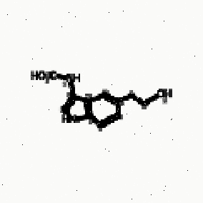 O=C(O)Nc1c[nH]c2ccc(CCO)cc12